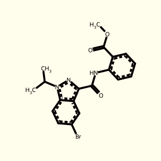 COC(=O)c1ccccc1NC(=O)c1nn(C(C)C)c2ccc(Br)cc12